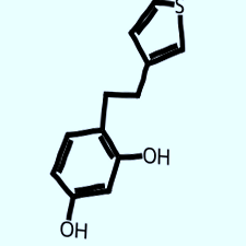 Oc1ccc(CCc2ccsc2)c(O)c1